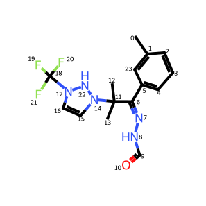 Cc1cccc(C(=NNC=O)C(C)(C)N2C=CN(C(F)(F)F)N2)c1